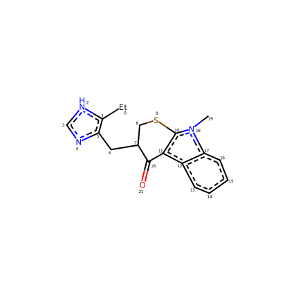 CCc1[nH]cnc1CC1CSc2c(c3ccccc3n2C)C1=O